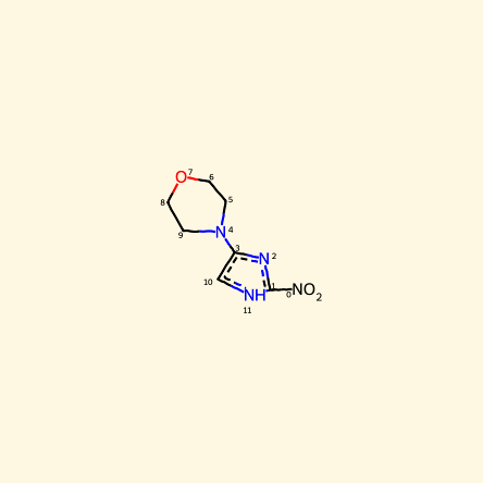 O=[N+]([O-])c1nc(N2CCOCC2)c[nH]1